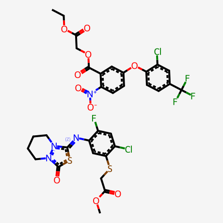 CCOC(=O)COC(=O)c1cc(Oc2ccc(C(F)(F)F)cc2Cl)ccc1[N+](=O)[O-].COC(=O)CSc1cc(/N=c2\sc(=O)n3n2CCCC3)c(F)cc1Cl